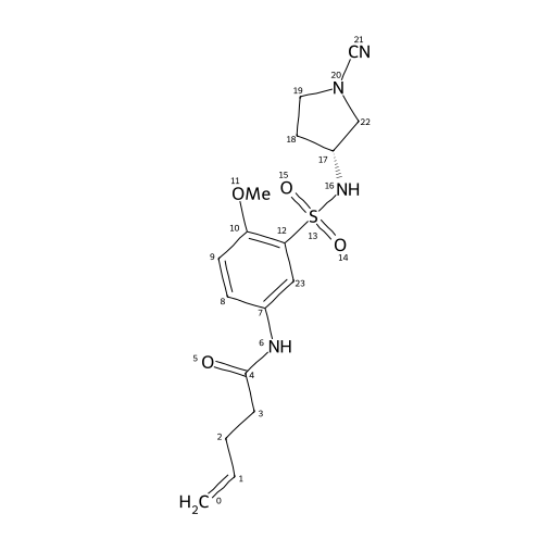 C=CCCC(=O)Nc1ccc(OC)c(S(=O)(=O)N[C@@H]2CCN(C#N)C2)c1